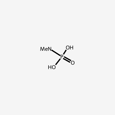 CNP(=O)(O)O